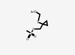 CC(=O)OCSC1(COS(C)(=O)=O)CC1